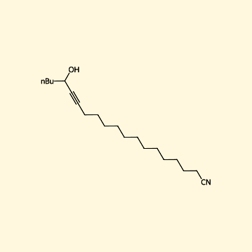 CCCCC(O)C#CCCCCCCCCCCCCC#N